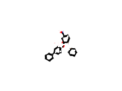 CC1C(C(N)=O)=CC=C(S(=O)(=O)c2ccccc2)C1(O)Cc1ccc(-c2ccccc2)cc1